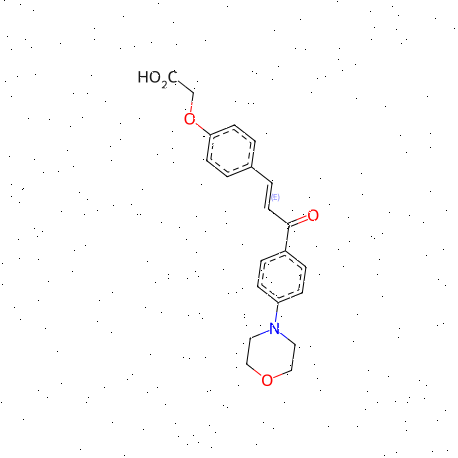 O=C(O)COc1ccc(/C=C/C(=O)c2ccc(N3CCOCC3)cc2)cc1